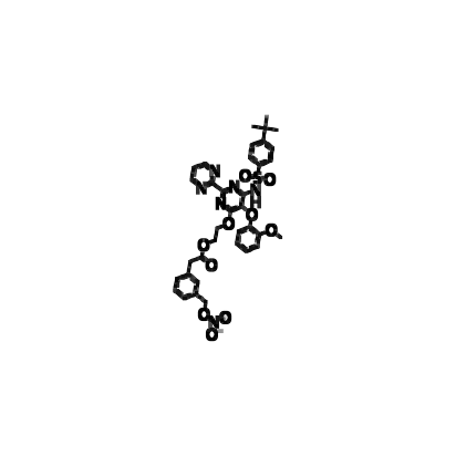 COc1ccccc1Oc1c(NS(=O)(=O)c2ccc(C(C)(C)C)cc2)nc(-c2ncccn2)nc1OCCOC(=O)Cc1cccc(CO[N+](=O)[O-])c1